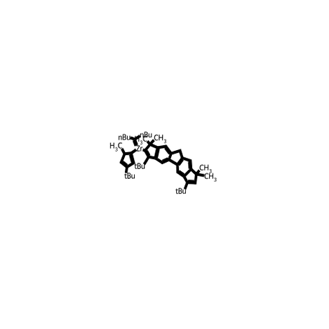 CCCC[C](CCCC)=[Zr]([C]1=CC(C(C)(C)C)=CC1C)[C]1=C(C(C)(C)C)c2cc3c(cc2C1(C)C)Cc1cc2c(cc1-3)C(C(C)(C)C)=CC2(C)C